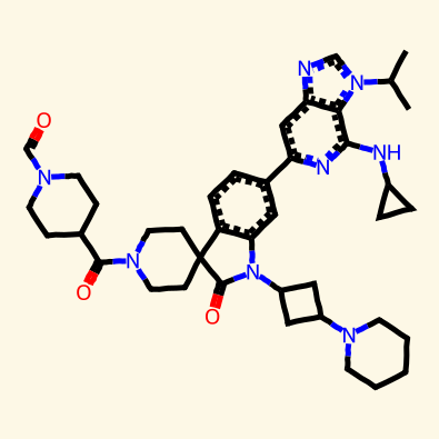 CC(C)n1cnc2cc(-c3ccc4c(c3)N(C3CC(N5CCCCC5)C3)C(=O)C43CCN(C(=O)C4CCN(C=O)CC4)CC3)nc(NC3CC3)c21